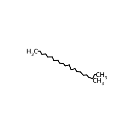 CCCCCCCCCCCCCCCCCCCC(C)CC